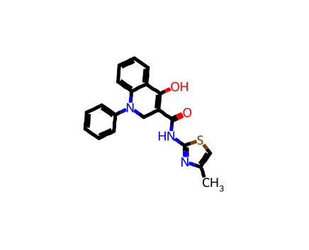 Cc1csc(NC(=O)C2=C(O)c3ccccc3N(c3ccccc3)C2)n1